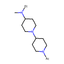 CCN(C)C1CCN(C2CCN(C(C)=O)CC2)CC1